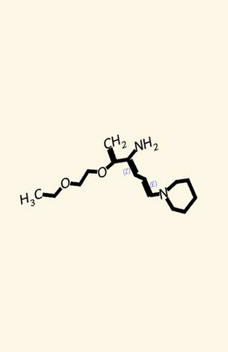 C=C(OCCOCC)/C(N)=C/C=C/N1CCCCC1